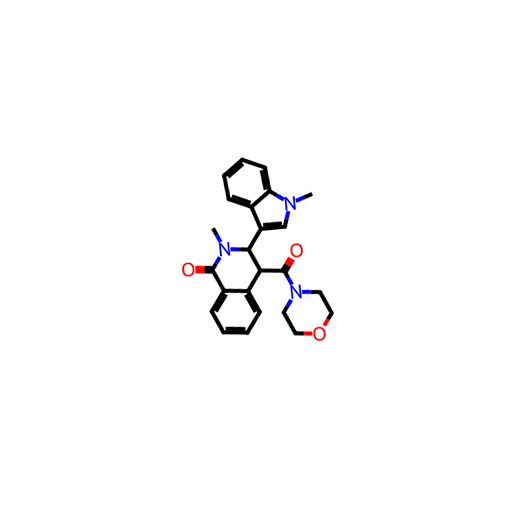 CN1C(=O)c2ccccc2C(C(=O)N2CCOCC2)C1c1cn(C)c2ccccc12